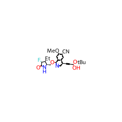 CC[C@@H]1[C@H](F)C(=O)N[C@@H]1COc1ncc(C#CC(O)OC(C)(C)C)c2cc(C#N)c(OC)cc12